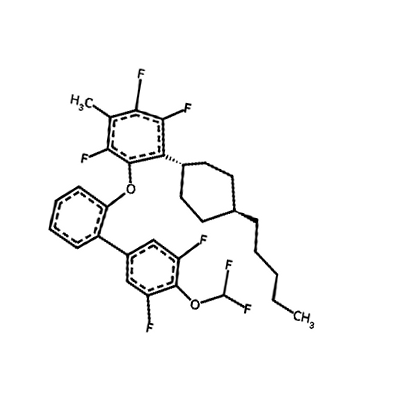 CCCCC[C@H]1CC[C@H](c2c(F)c(F)c(C)c(F)c2Oc2ccccc2-c2cc(F)c(OC(F)F)c(F)c2)CC1